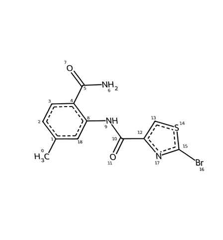 Cc1ccc(C(N)=O)c(NC(=O)c2csc(Br)n2)c1